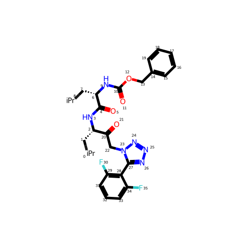 CC(C)C[C@H](NC(=O)[C@H](CC(C)C)NC(=O)OCc1ccccc1)C(=O)Cn1nnnc1-c1c(F)cccc1F